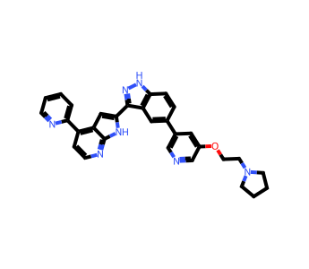 c1ccc(-c2ccnc3[nH]c(-c4n[nH]c5ccc(-c6cncc(OCCN7CCCC7)c6)cc45)cc23)nc1